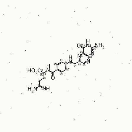 N=C(N)CC[C@H](NC(=O)c1ccc(NCc2cnc3nc(N)[nH]c(=O)c3n2)cc1)C(=O)O